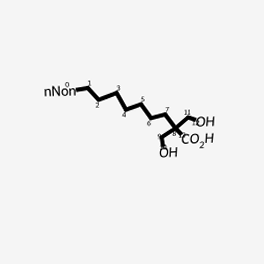 CCCCCCCCCCCCCCCCC(CO)(CO)C(=O)O